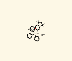 COc1cc2c(cc1C(C)[P+](c1ccccc1)(c1ccccc1)c1ccccc1)C(C)(C)CC2(C)C.[Br-]